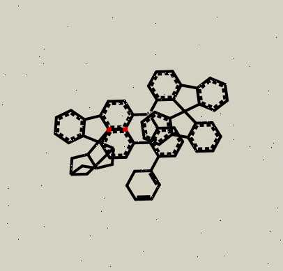 C1=CCCC(c2cccc(N(c3ccc4c(c3)C3(c5ccccc5-4)C4CC5CC(C4)C3C5)c3cccc4c3C3(c5ccccc5-c5ccccc53)c3ccccc3-4)c2-c2ccccc2)=C1